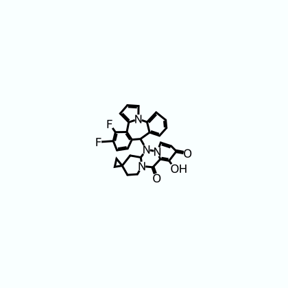 O=C1c2c(O)c(=O)ccn2N(C2c3ccccc3-n3cccc3-c3c2ccc(F)c3F)C2CC3(CCN12)CC3